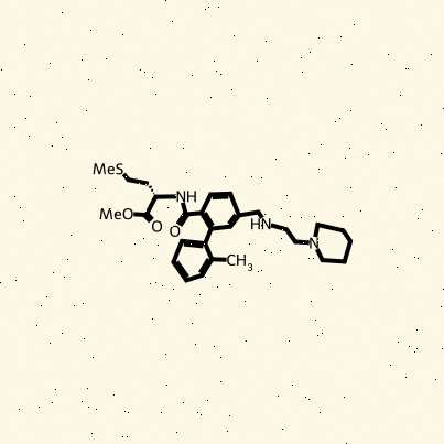 COC(=O)[C@H](CCSC)NC(=O)c1ccc(CNCCN2CCCCC2)cc1-c1ccccc1C